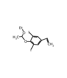 C=Cc1cc(I)c(OC(C)OCC)c(I)c1